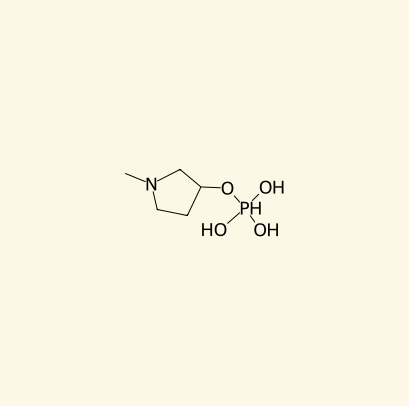 CN1CCC(O[PH](O)(O)O)C1